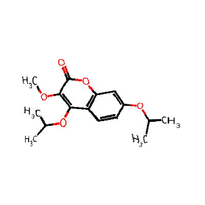 COc1c(OC(C)C)c2ccc(OC(C)C)cc2oc1=O